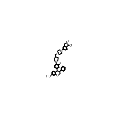 CN1Cc2cc(N3CCN(CC4CCN(c5ccc(C6c7ccc(O)cc7OCC6c6ccccc6)cc5F)CC4)CC3)ccc2C1=O